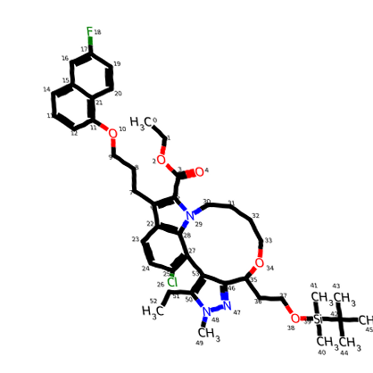 CCOC(=O)c1c(CCCOc2cccc3cc(F)ccc23)c2ccc(Cl)c3c2n1CCCCOC(CCO[Si](C)(C)C(C)(C)C)c1nn(C)c(CC)c1-3